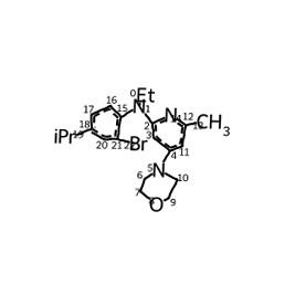 CCN(c1cc(N2CCOCC2)cc(C)n1)c1ccc(C(C)C)cc1Br